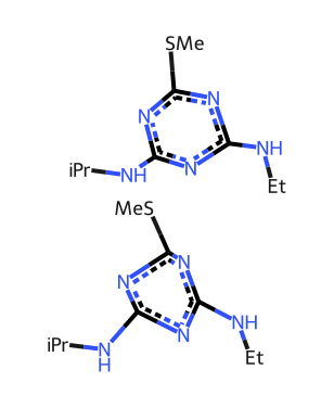 CCNc1nc(NC(C)C)nc(SC)n1.CCNc1nc(NC(C)C)nc(SC)n1